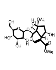 COC(=O)C1=CO[C@@H](O[C@@H]2O[C@H](CO)[C@@H](O)[C@H](O)[C@H]2O)[C@@H]2[C@@H]1[C@@H](O)C[C@]2(C)OC(C)=O